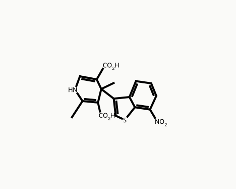 CC1=C(C(=O)O)C(C)(c2csc3c([N+](=O)[O-])cccc23)C(C(=O)O)=CN1